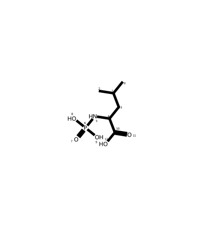 CC(C)CC(NP(=O)(O)O)C(=O)O